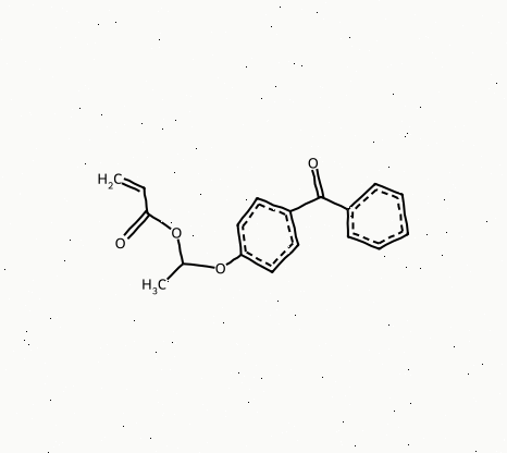 C=CC(=O)OC(C)Oc1ccc(C(=O)c2ccccc2)cc1